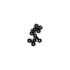 c1ccc(N(Cc2ccc(-c3cccc4c3Oc3c(ccc5c3-c3ccccc3C53c5ccccc5-c5ccccc53)O4)cc2)c2ccc3c(c2)c2ccccc2n3-c2ccccc2)cc1